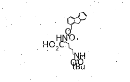 CC(C)(C)OC(=O)NCCCCC(NC(=O)OCc1cccc2c1Cc1ccccc1-2)C(=O)O